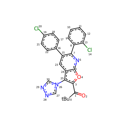 CC(C)(C)C(=O)c1oc2nc(-c3ccccc3Cl)c(-c3ccc(Cl)cc3)cc2c1-n1cnnc1